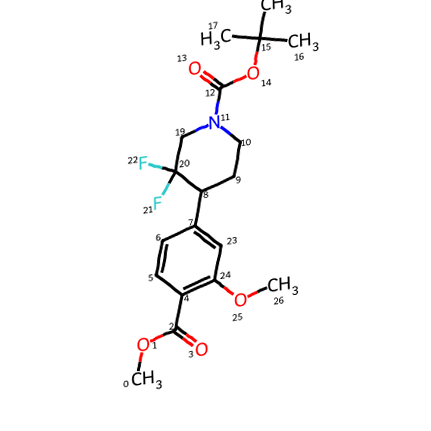 COC(=O)c1ccc(C2CCN(C(=O)OC(C)(C)C)CC2(F)F)cc1OC